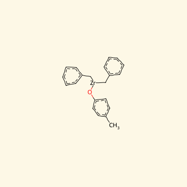 Cc1ccc([O][Zr]([CH2]c2ccccc2)[CH2]c2ccccc2)cc1